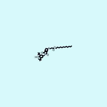 CCCCCCCCCCCCOC(=O)CCSC1CC2CC1C1C(=O)N(Cc3cc(C(C)(C)C)c(O)c(C(C)(C)C)c3)C(=O)C21